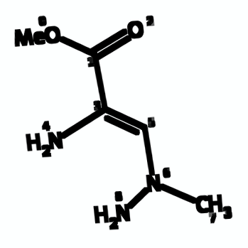 COC(=O)/C(N)=C/N(C)N